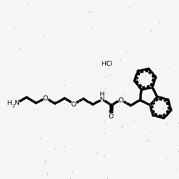 Cl.NCCOCCOCCNC(=O)OCC1c2ccccc2-c2ccccc21